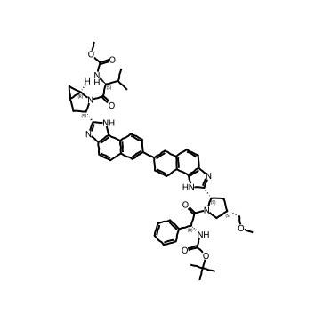 COC[C@H]1C[C@@H](c2nc3ccc4cc(-c5ccc6c(ccc7nc([C@@H]8CC9C[C@H]9N8C(=O)[C@@H](NC(=O)OC)C(C)C)[nH]c76)c5)ccc4c3[nH]2)N(C(=O)[C@H](NC(=O)OC(C)(C)C)c2ccccc2)C1